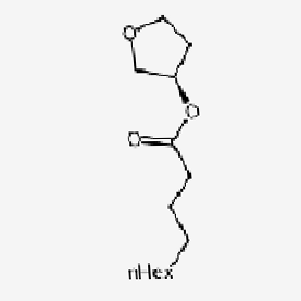 CCCCCCCCCC(=O)O[C@@H]1CCOC1